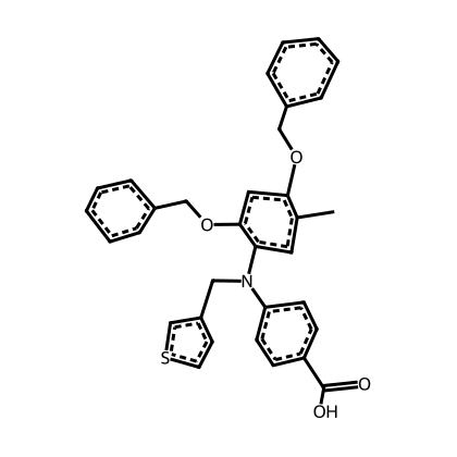 Cc1cc(N(Cc2ccsc2)c2ccc(C(=O)O)cc2)c(OCc2ccccc2)cc1OCc1ccccc1